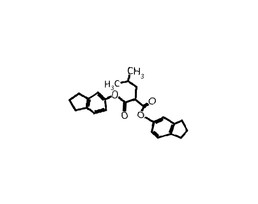 CC(C)CC(C(=O)Oc1ccc2c(c1)CCC2)C(=O)Oc1ccc2c(c1)CCC2